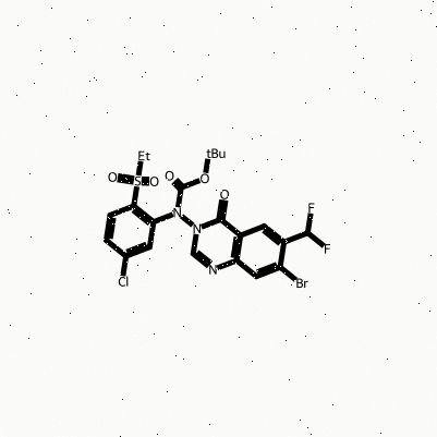 CCS(=O)(=O)c1ccc(Cl)cc1N(C(=O)OC(C)(C)C)n1cnc2cc(Br)c(C(F)F)cc2c1=O